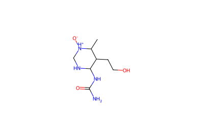 CC1C(CCO)C(NC(N)=O)NC[NH+]1[O-]